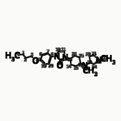 CCCCOc1ccc(-n2ccn(C3CCC(N(C)C4CCN(C)C4)CC3)c2=O)cc1